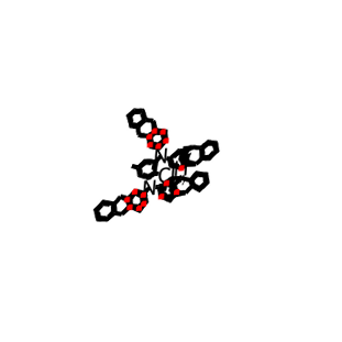 Cc1cc(N(c2ccc3c(c2)C2c4cccc(c4)C3c3ccccc32)c2ccc3c(c2)C2c4ccccc4C3c3ccccc32)c(Cl)c(N(c2ccc3c(c2)C2c4ccccc4C3c3ccccc32)c2ccc3c(c2)[C@H]2c4cccc(c4)C3c3ccccc32)c1